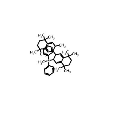 CC1C=C2C(=CC1C1C=C3C(=CC1S(C)(c1ccccc1)c1ccccc1)C(C)(C)CCC3(C)C)C(C)(C)CCC2(C)C